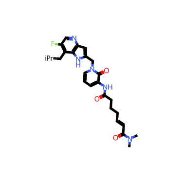 CC(C)Cc1c(F)cnc2cc(Cn3cccc(NC(=O)CCC/C=C/C(=O)N(C)C)c3=O)[nH]c12